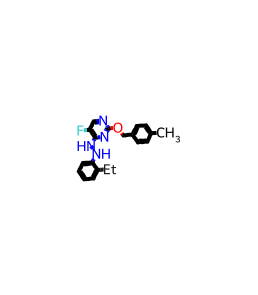 CCc1ccccc1NNc1nc(OCc2ccc(C)cc2)ncc1F